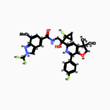 COc1cc(C(=O)NCC(O)(c2cc3c(c(-c4ccc(F)cc4)n2)OC[C@]3(C)C=O)C2(F)CC2)cc2cn(C(F)F)nc12